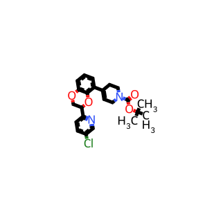 CC(C)(C)OC(=O)N1CC=C(c2cccc3c2OC(c2ccc(Cl)cn2)CO3)CC1